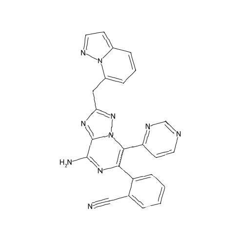 N#Cc1ccccc1-c1nc(N)c2nc(Cc3cccc4ccnn34)nn2c1-c1ccncn1